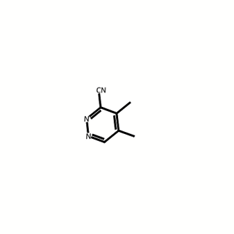 Cc1cnnc(C#N)c1C